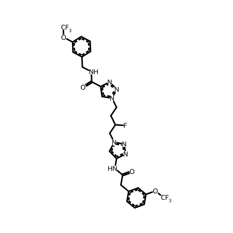 O=C(Cc1cccc(OC(F)(F)F)c1)Nc1cn(CC(F)CCn2cc(C(=O)NCc3cccc(OC(F)(F)F)c3)nn2)nn1